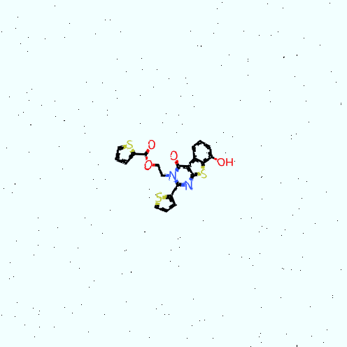 O=C(OCCn1c(-c2cccs2)nc2sc3c(O)cccc3c2c1=O)c1cccs1